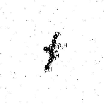 COc1ccccc1CN1Cc2cc3c(cc2C[C@H]1C(=O)N[C@@H](Cc1ccc(-c2ccc(C#N)cc2)cc1)C(=O)O)NC(=O)C(c1ccc(OCc2ccc(Cl)c(Cl)c2)cc1)O3